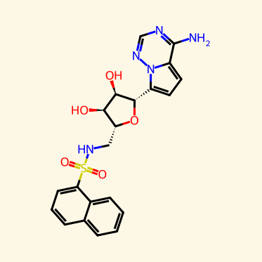 Nc1ncnn2c([C@@H]3O[C@H](CNS(=O)(=O)c4cccc5ccccc45)[C@@H](O)[C@H]3O)ccc12